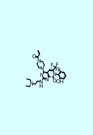 C=CC(=O)N1CCN(c2nc(NCCN(CC)CC)nc(C)c2/C=C(\N(C=O)c2c(O)cccc2F)C(F)(F)F)CC1